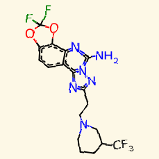 Nc1nc2c3c(ccc2c2nc(CCN4CCCC(C(F)(F)F)C4)nn12)OC(F)(F)O3